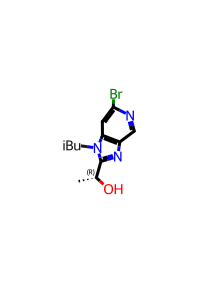 CCC(C)n1c([C@@H](C)O)nc2cnc(Br)cc21